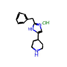 Cl.c1ccc(Cc2ncc(C3CCNCC3)[nH]2)cc1